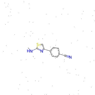 CNc1nc(-c2ccc(C#N)cc2)cs1